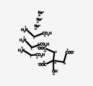 NCC(=O)O.NCC(=O)O.NCC(=O)O.O=C([O-])CC(O)(CC(=O)[O-])C(=O)[O-].[Na+].[Na+].[Na+]